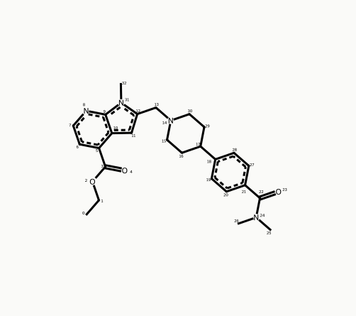 CCOC(=O)c1ccnc2c1cc(CN1CCC(c3ccc(C(=O)N(C)C)cc3)CC1)n2C